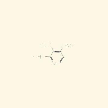 COc1ccnc(C=O)c1C=O